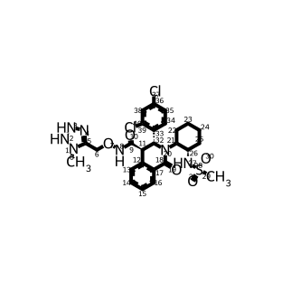 CN1NNN=C1CONC(=O)[C@@H]1c2ccccc2C(=O)N(C2CCCC[C@@H]2NS(C)(=O)=O)[C@H]1c1ccc(Cl)cc1Cl